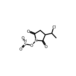 CC(Cl)C1CC(=O)N(O[SH](=O)=O)C1=O